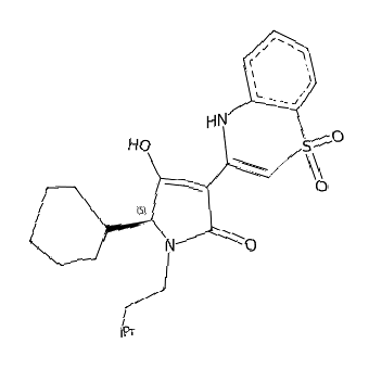 CC(C)CCN1C(=O)C(C2=CS(=O)(=O)c3ccccc3N2)=C(O)[C@@H]1C1CCCCC1